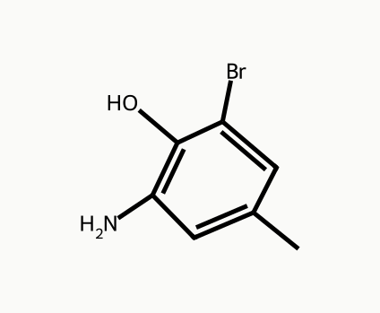 Cc1cc(N)c(O)c(Br)c1